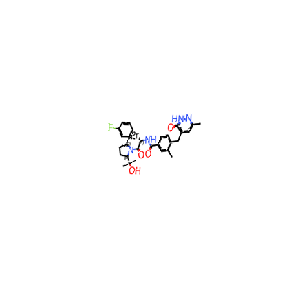 Cc1cc(Cc2ccc(C(=O)N[C@@H](C(=O)N3[C@H](C4(C)C=C(F)C=CC4)CC[C@@H]3C(C)(C)O)C(C)C)cc2C)c(=O)[nH]n1